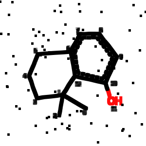 CC1(C)CCCc2cccc(O)c21